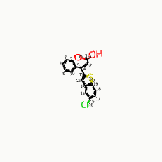 O=C(O)/C=C(\c1ccccc1)c1cc2cc(Cl)ccc2s1